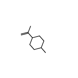 C=C(C)C1CCC(C)CC1